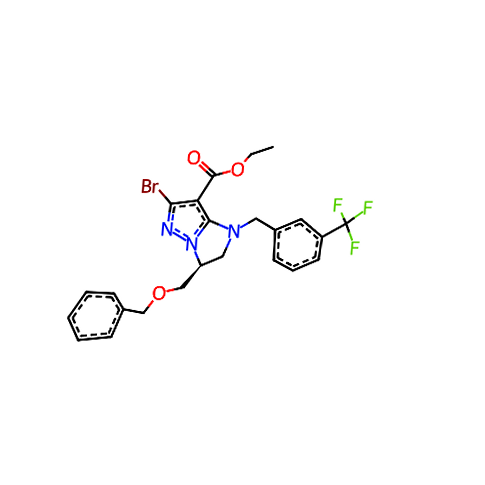 CCOC(=O)c1c(Br)nn2c1N(Cc1cccc(C(F)(F)F)c1)C[C@H]2COCc1ccccc1